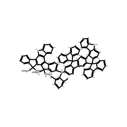 CCCCCCCC1(CCCCCCC)c2ccccc2-c2c1c1c(c3c2oc2ccccc23)-c2ccc(N(c3ccc4c(c3)C3(c5ccccc5-c5ccccc53)c3cc5c(cc3-4)C3(c4ccccc4-c4ccccc43)c3ccc4oc6ccccc6c4c3-5)c3c(C)cccc3C)cc2C1(CCCCCCC)CCCCCCC